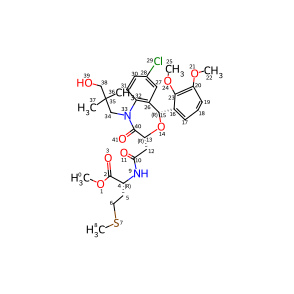 COC(=O)[C@@H](CCSC)NC(=O)C[C@H]1O[C@@H](c2cccc(OC)c2OC)c2cc(Cl)ccc2N(CC(C)(C)CO)C1=O